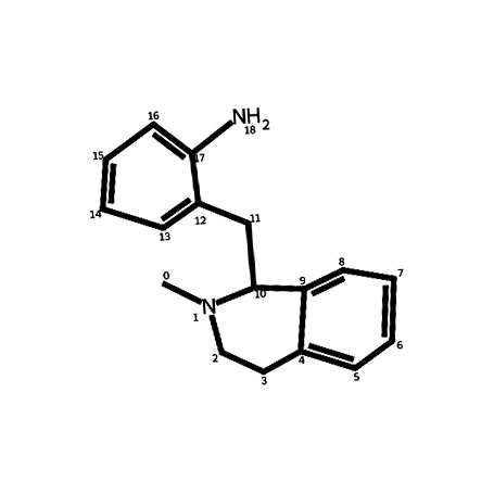 CN1CCc2ccccc2C1Cc1ccccc1N